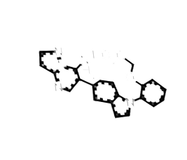 Nc1c(-c2ccc3c(ccn3-c3ccccc3OCC(=O)O)c2)cnc2ccnn12